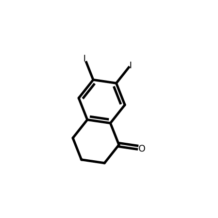 O=C1CCCc2cc(I)c(I)cc21